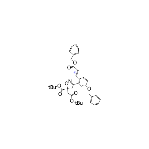 CC(C)(C)OC(=O)CC1(C(=O)OC(C)(C)C)CC(c2cc(OCc3ccccc3)ccc2/C=C/C(=O)OCc2ccccc2)=NO1